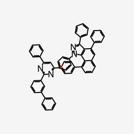 c1ccc(-c2cccc(-c3nc(-c4ccccc4)cc(-c4ccc(-c5cccc6cc(-c7ccccc7)c7c(-c8ccccc8)nn(-c8ccccc8)c7c56)cc4)n3)c2)cc1